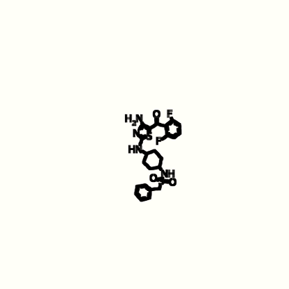 Nc1nc(NC2CCC(NS(=O)(=O)Cc3ccccc3)CC2)sc1C(=O)c1c(F)cccc1F